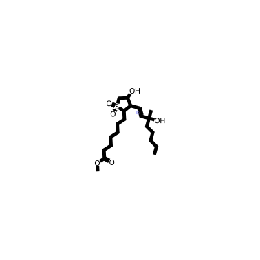 CCCCCC(C)(O)/C=C/C1C(O)CS(=O)(=O)C1CCCCCCC(=O)OC